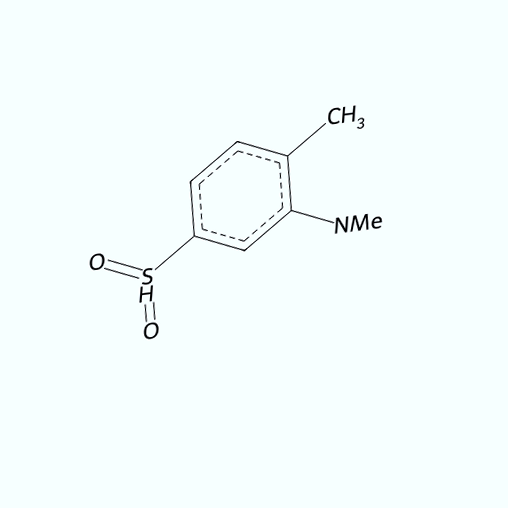 CNc1cc([SH](=O)=O)ccc1C